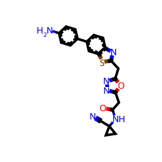 N#CC1(NC(=O)Cc2nnc(Cc3nc4ccc(-c5ccc(N)cc5)cc4s3)o2)CC1